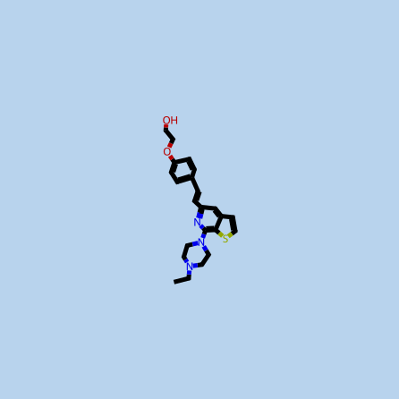 CCN1CCN(c2nc(C=Cc3ccc(OCCO)cc3)cc3ccsc23)CC1